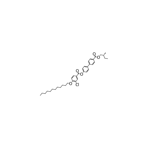 CCCCCCCCCCCCOc1ccc(C(=O)Oc2ccc(-c3ccc(C(=O)OC[C@@H](C)CC)cc3)cc2)cc1Cl